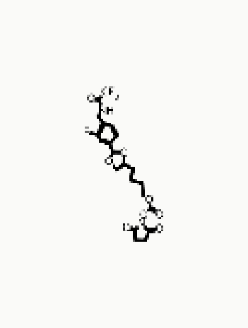 O=C(OCCCCC1COC(c2ccc(CNC(=O)C(F)(F)F)c(F)c2)O1)ON1C(=O)CCC1=O